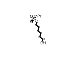 CCCS(=O)(=O)OCCCCCCO